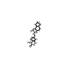 CN(Cc1cccc2ncccc12)C(=O)/C=C/c1cnc2c(c1)CCC(=O)N2